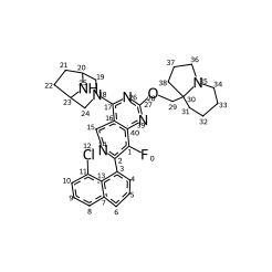 Fc1c(-c2cccc3cccc(Cl)c23)ncc2c(N3CC4CCC(C3)N4)nc(OCC34CCCCN3CCC4)nc12